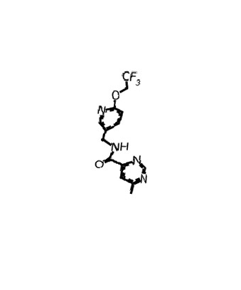 Cc1cc(C(=O)NCc2ccc(OCC(F)(F)F)nc2)ncn1